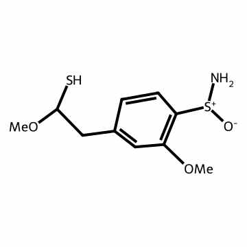 COc1cc(CC(S)OC)ccc1[S+](N)[O-]